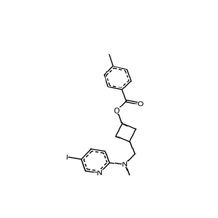 Cc1ccc(C(=O)OC2CC(CN(C)c3ccc(I)cn3)C2)cc1